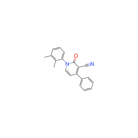 Cc1cccc(-n2ccc(-c3ccccc3)c(C#N)c2=O)c1C